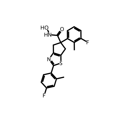 Cc1cc(F)ccc1-c1nc2c(s1)CC(C(=O)NO)(c1cccc(F)c1C)C2